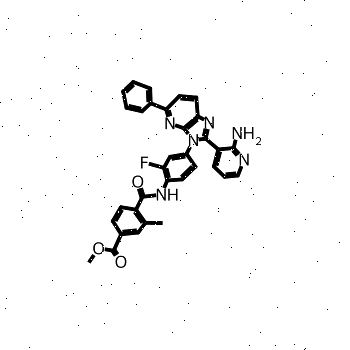 COC(=O)c1ccc(C(=O)Nc2ccc(-n3c(-c4cccnc4N)nc4ccc(-c5ccccc5)nc43)cc2F)c(C)c1